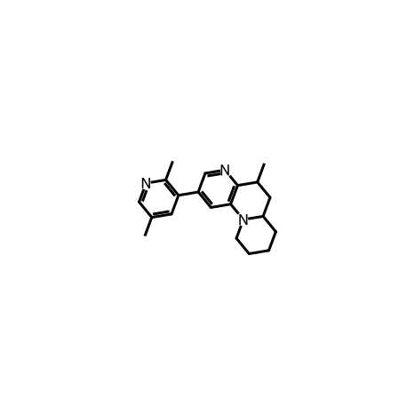 Cc1cnc(C)c(-c2cnc3c(c2)N2CCCCC2CC3C)c1